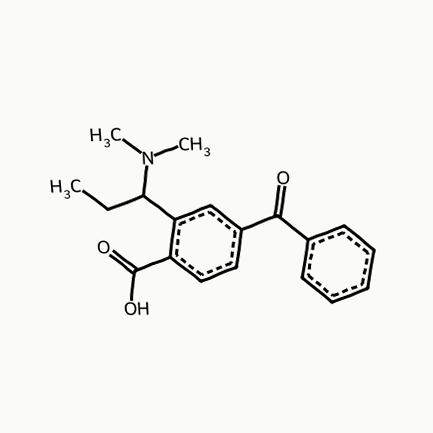 CCC(c1cc(C(=O)c2ccccc2)ccc1C(=O)O)N(C)C